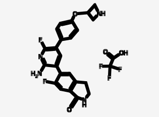 Nc1nc(F)c(-c2ccc(OC3CNC3)cc2)cc1-c1cc2c(cc1F)C(=O)NCC2.O=C(O)C(F)(F)F